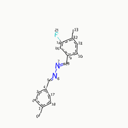 Cc1ccc(/C=N/N=C/c2ccc(C)c(F)c2)cc1